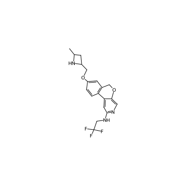 CC1CC(COc2ccc3c(c2)COc2cnc(NCC(F)(F)F)cc2-3)N1